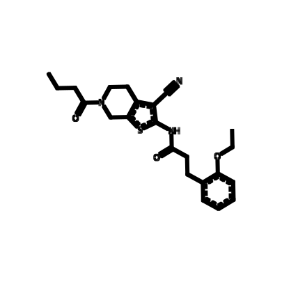 CCCC(=O)N1CCc2c(sc(NC(=O)CCc3ccccc3OCC)c2C#N)C1